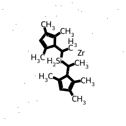 CC1=CC(C)=C(C)C1C(C)[SiH2]C(C)C1C(C)=CC(C)=C1C.[Zr]